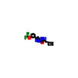 N#CCCCC(=O)Nc1cc(-c2cccc(OC(F)F)c2)n[nH]1